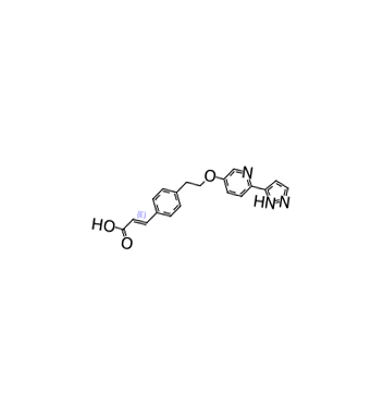 O=C(O)/C=C/c1ccc(CCOc2ccc(-c3ccn[nH]3)nc2)cc1